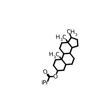 CC(C)C(=O)OC1CCC2(C)C(CCC3C4CCC(C)C4(C)CCC32)C1